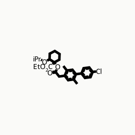 CCOC(=O)C1(OC(=O)Cc2cc(C)c(-c3ccc(Cl)cc3)cc2C)CCCCC1OC(C)C